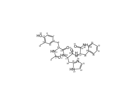 CC(=O)NC(Cc1ccc(O)c(C)c1)C(=O)NC(Cc1ncc[nH]1)C(=O)NC(Cc1ccccc1)C(N)=O